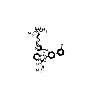 CCNC(=O)N1CCC[C@H](c2nn(COCC[Si](C)(C)C)cc2C)[C@@H]1CO[C@H]1CC[C@@H](c2cccc(F)c2)CC1